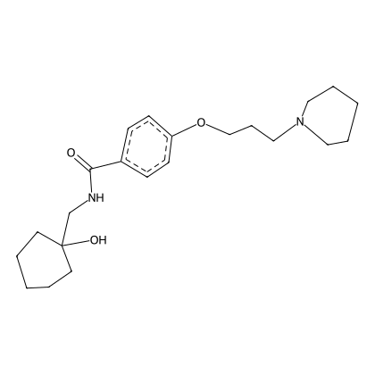 O=C(NCC1(O)CCCCC1)c1ccc(OCCCN2CCCCC2)cc1